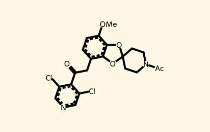 COc1ccc(CC(=O)c2c(Cl)cncc2Cl)c2c1OC1(CCN(C(C)=O)CC1)O2